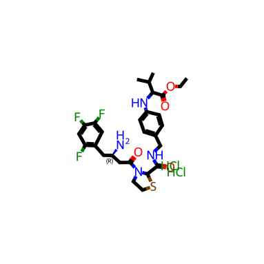 CCOC(=O)C(Nc1ccc(CNC(=O)C2SCCN2C(=O)C[C@H](N)Cc2cc(F)c(F)cc2F)cc1)C(C)C.Cl.Cl